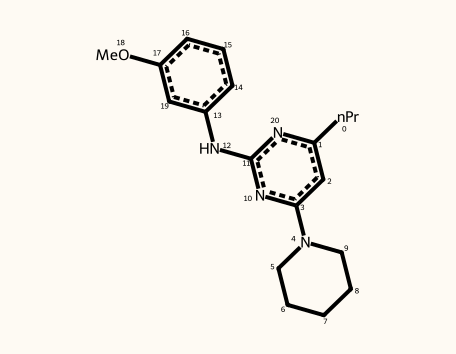 CCCc1cc(N2CCCCC2)nc(Nc2cccc(OC)c2)n1